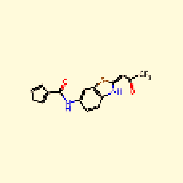 O=C(Nc1ccc2c(c1)S/C(=C/C(=O)C(F)(F)F)N2)C1=CCC=C1